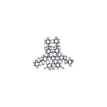 Cc1ccc(N(c2cc3c4c(c2)N(c2ccc(C(C)(C)c5ccccc5)cc2)c2ccc(C(C)(C)c5ccccc5)cc2B4c2cc(C(C)(C)c4ccccc4)ccc2N3c2ccc(C(C)(C)c3ccccc3)cc2)c2ccc(C)cc2C)c(C)c1